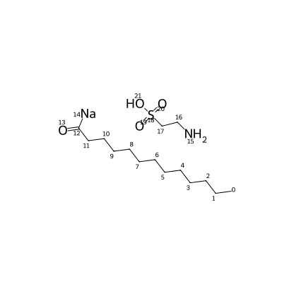 CCCCCCCCCCCC[C](=O)[Na].NCCS(=O)(=O)O